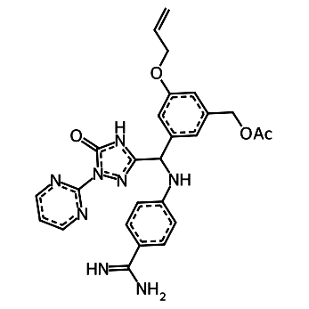 C=CCOc1cc(COC(C)=O)cc(C(Nc2ccc(C(=N)N)cc2)c2nn(-c3ncccn3)c(=O)[nH]2)c1